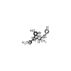 C[C@@H](Nc1nc2c(Br)cccc2c2nc(-c3cnn(C)c3)nn12)C(=O)NCCN1CCNCC1.Cl